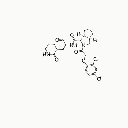 O=C[C@H](C[C@@H]1CCCNC1=O)NC(=O)[C@@H]1[C@H]2CCC[C@H]2CN1C(=O)COc1ccc(Cl)cc1Cl